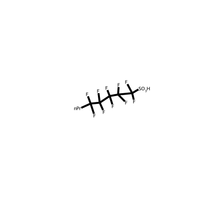 CCCC(F)(F)C(F)(F)C(F)(F)C(F)(F)C(F)(F)S(=O)(=O)O